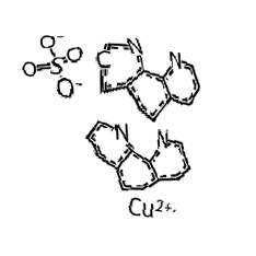 O=S(=O)([O-])[O-].[Cu+2].c1cnc2c(c1)ccc1cccnc12.c1cnc2c(c1)ccc1cccnc12